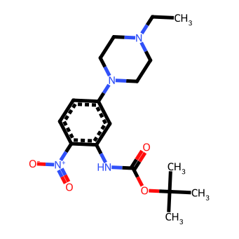 CCN1CCN(c2ccc([N+](=O)[O-])c(NC(=O)OC(C)(C)C)c2)CC1